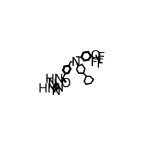 O=C(Nc1nn[nH]n1)c1ccc(CN(Cc2ccc(OC(F)(F)F)cc2)C2CCC(C3CCCCC3)CC2)cc1